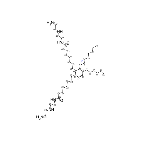 CCCCC/C=C/CC1C(CCCCCC)C=CC(CCCCCCCC(=O)NCCNCCN)C1CCCCCCCC(=O)NCCNCCN